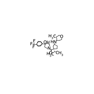 CC1COCCC1N[C@H]1CC[C@](C(=O)N2CCC(O)(c3ccc(C(F)(F)F)cc3)CC2)(C(C)C)C1